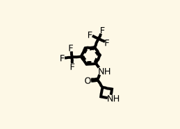 O=C(Nc1cc(C(F)(F)F)cc(C(F)(F)F)c1)C1CNC1